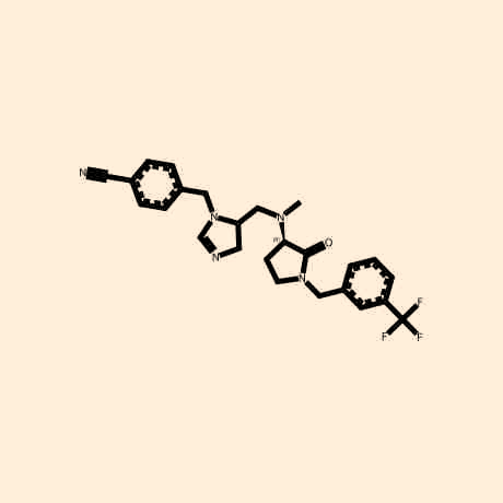 CN(CC1CN=CN1Cc1ccc(C#N)cc1)[C@@H]1CCN(Cc2cccc(C(F)(F)F)c2)C1=O